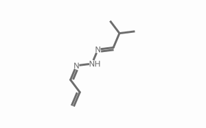 C=C/C=N\N/N=C/C(C)C